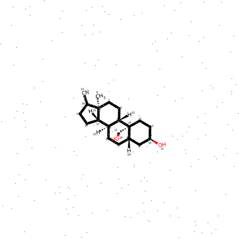 C[C@]12CC[C@H]3[C@@H](CC[C@H]4C[C@H](O)CC[C@@]43CO)[C@@H]1CCC2C#N